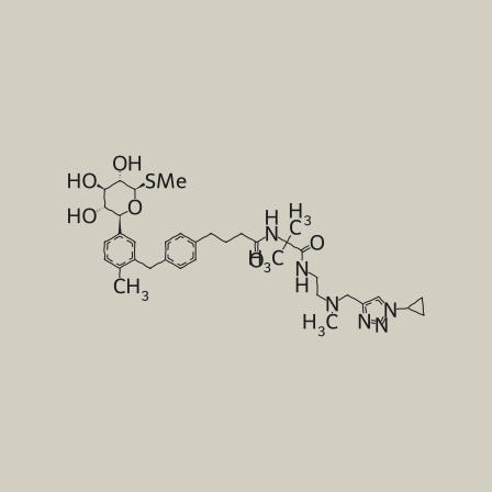 CS[C@H]1O[C@@H](c2ccc(C)c(Cc3ccc(CCCC(=O)NC(C)(C)C(=O)NCCN(C)Cc4cn(C5CC5)nn4)cc3)c2)[C@H](O)[C@@H](O)[C@@H]1O